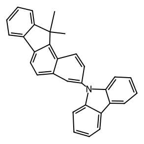 CC1(C)c2ccccc2-c2ccc3cc(-n4c5ccccc5c5ccccc54)ccc3c21